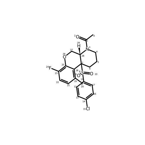 CC(=O)N1CCCC2(S(=O)(=O)c3ccc(Cl)cc3)c3c(F)ccc(F)c3OC[C@H]12